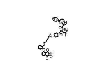 CN(CCCCCCc1ccccc1Oc1cccc2c1C(=O)NC(=O)C2=O)C[C@H]1CC[C@H](n2cc(NC(=O)c3cnn4ccc(N5CCOCC5)nc34)c(C(F)F)n2)CC1